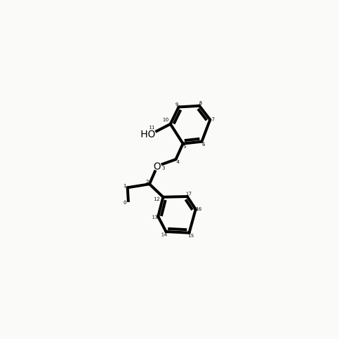 CCC(OCc1ccccc1O)c1ccccc1